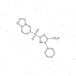 O=C(O)c1sc(S(=O)(=O)c2ccc3occc3c2)nc1-c1ccccc1